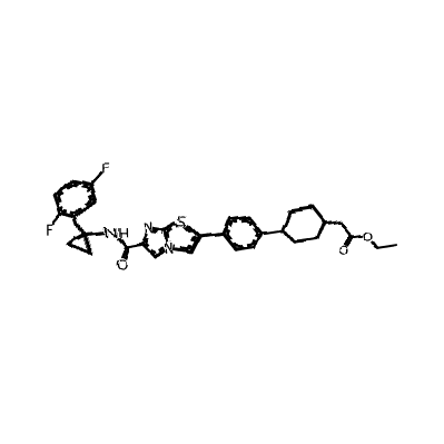 CCOC(=O)CC1CCC(c2ccc(-c3cn4cc(C(=O)NC5(c6cc(F)ccc6F)CC5)nc4s3)cc2)CC1